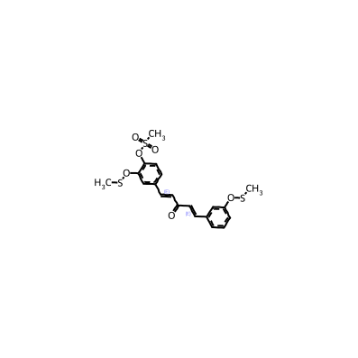 CSOc1cccc(/C=C/C(=O)/C=C/c2ccc(OS(C)(=O)=O)c(OSC)c2)c1